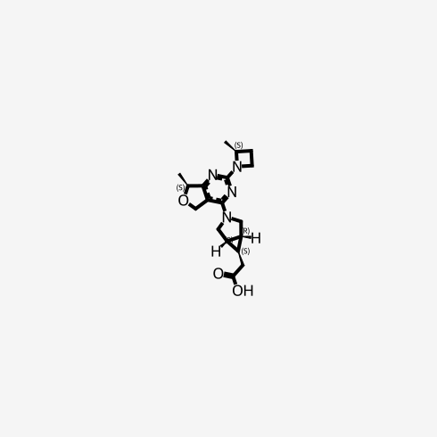 C[C@@H]1OCc2c1nc(N1CC[C@@H]1C)nc2N1C[C@@H]2[C@@H](CC(=O)O)[C@@H]2C1